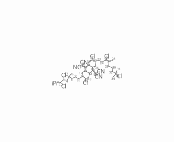 CC(C)C(Cl)CCC(C)(Cl)CCCC1CC2C(=C(C#N)C#N)C3CC(Cl)C(CCC(Cl)C(C)CCCC(C)(C)Cl)CC3C(=C(C#N)C#N)C2CC1Cl